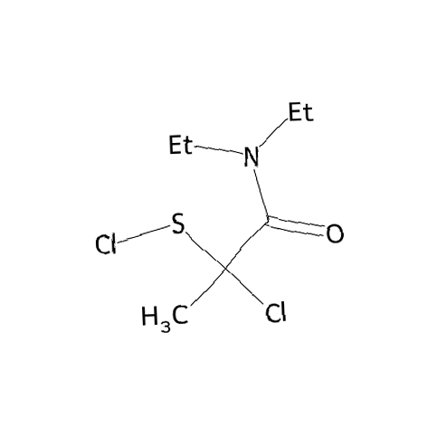 CCN(CC)C(=O)C(C)(Cl)SCl